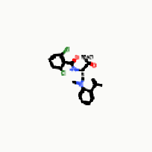 C=C(C)c1ccccc1N(C)C[C@H](NC(=O)c1c(Cl)cccc1Cl)C(=O)OC